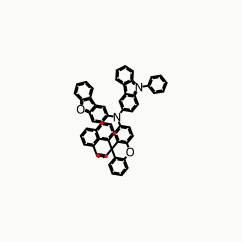 c1ccc(-n2c3ccccc3c3cc(N(c4ccc5c(c4)C4(c6ccccc6O5)c5ccccc5-c5cccc6cccc4c56)c4ccc5oc6ccccc6c5c4)ccc32)cc1